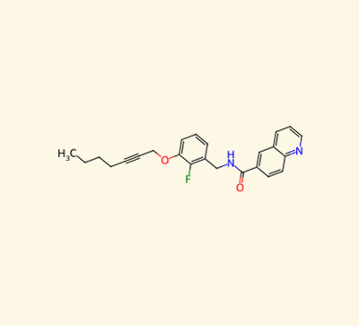 CCCCC#CCOc1cccc(CNC(=O)c2ccc3ncccc3c2)c1F